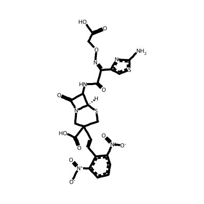 Nc1nc(C(=NOCC(=O)O)C(=O)NC2C(=O)N3CC(C=Cc4c([N+](=O)[O-])cccc4[N+](=O)[O-])(C(=O)O)CS[C@H]23)cs1